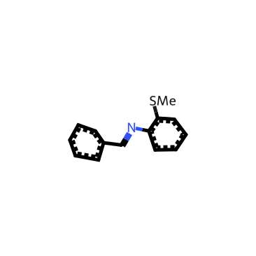 CSc1ccccc1N=Cc1ccccc1